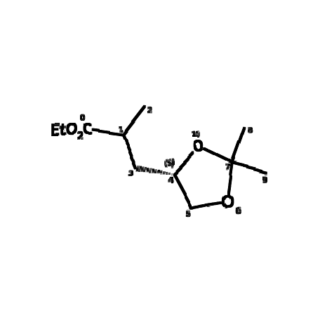 CCOC(=O)C(C)C[C@H]1COC(C)(C)O1